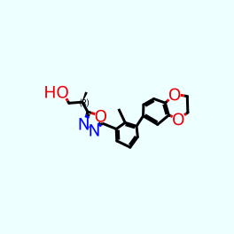 Cc1c(-c2ccc3c(c2)OCCO3)cccc1-c1nnc([C@H](C)CO)o1